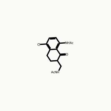 CC(=O)NCC1CCc2c(Cl)ccc(NC(C)=O)c2C1=O